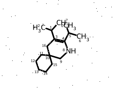 CC(C)C1=C(C(C)C)NCC2(CCCCC2)C1